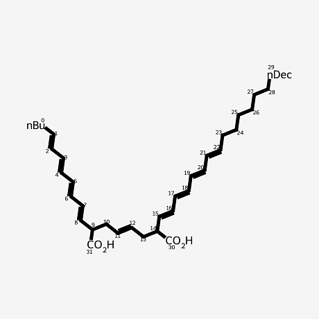 CCCCC=CC=CC=CC=CC(CC=CCC(C=CC=CC=CC=CCCCCCCCCCCCCCCCC)C(=O)O)C(=O)O